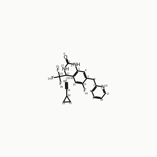 O=C1Nc2cc(Cc3ccccn3)c(F)cc2[C@@](C#CC2CC2)(C(F)(F)F)N1